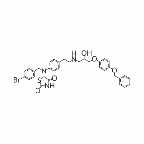 O=C1NC(=O)C(N(Cc2ccc(Br)cc2)c2ccc(CCNCC(O)COc3ccc(OCc4ccccc4)cc3)cc2)S1